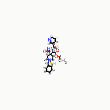 CCOC(=O)C(NC(=O)c1cccnc1)C1(N=O)CC[N+](S)(Cc2ccccc2)CC1